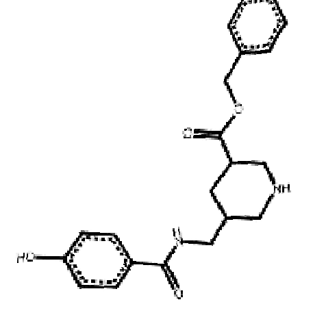 O=C(NCC1CNCC(C(=O)OCc2ccccc2)C1)c1ccc(O)cc1